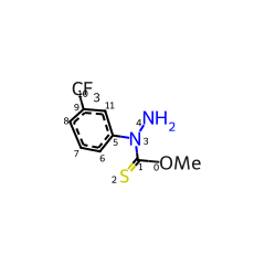 COC(=S)N(N)c1cccc(C(F)(F)F)c1